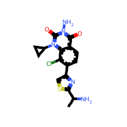 CC(N)c1nc(-c2ccc3c(=O)n(N)c(=O)n(C4CC4)c3c2Cl)cs1